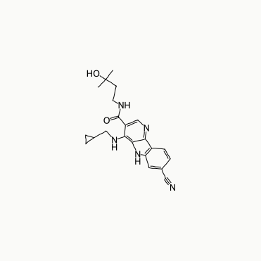 CC(C)(O)CCNC(=O)c1cnc2c([nH]c3cc(C#N)ccc32)c1NCC1CC1